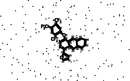 FC(F)(F)c1cc(C(F)(F)F)c(C(F)(F)F)cc1Oc1nnc(-c2ccco2)c2cc3ccccc3cc12